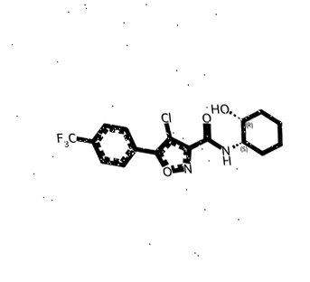 O=C(N[C@H]1CCCC[C@H]1O)c1noc(-c2ccc(C(F)(F)F)cc2)c1Cl